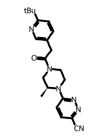 C[C@H]1CN(C(=O)Cc2ccc(C(C)(C)C)nc2)CCN1c1ccc(C#N)nn1